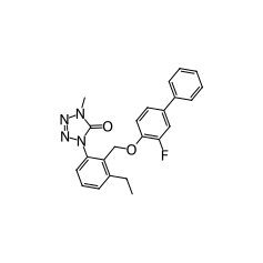 CCc1cccc(-n2nnn(C)c2=O)c1COc1ccc(-c2ccccc2)cc1F